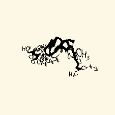 CC(C)CCC[C@@H](C)[C@H]1CCC2C3CC=C4CC(O)C(P(=O)(O)OC5=C(O)C(=O)O[C@@H]5[C@@H](O)CO)C[C@]4(C)C3CC[C@@]21C